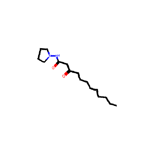 CCCCCCCCCC(=O)CC(=O)NN1CCCC1